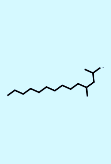 [CH2]C(C)CC(C)CCCCCCCCCC